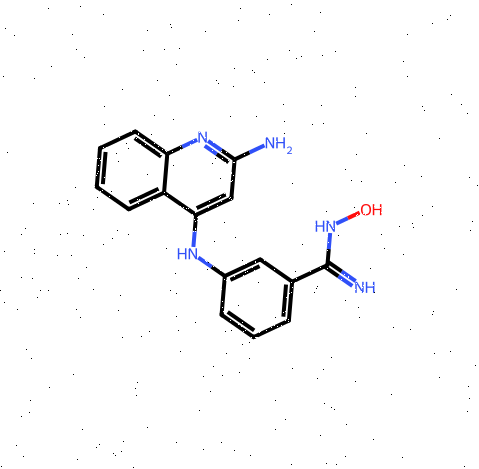 N=C(NO)c1cccc(Nc2cc(N)nc3ccccc23)c1